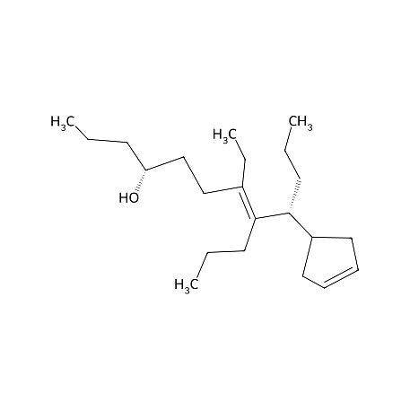 CCC/C(=C(/CC)CC[C@H](O)CCC)[C@H](CCC)C1CC=CC1